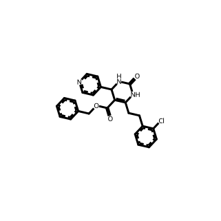 O=C1NC(CCc2ccccc2Cl)=C(C(=O)OCc2ccccc2)C(c2ccncc2)N1